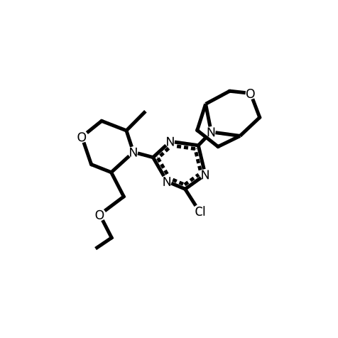 CCOCC1COCC(C)N1c1nc(Cl)nc(N2C3CCC2COC3)n1